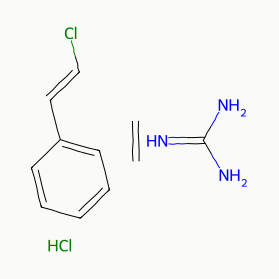 C=C.Cl.ClC=Cc1ccccc1.N=C(N)N